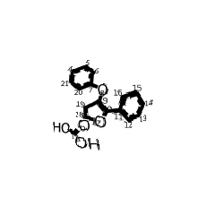 O=C(O)O.c1ccc(OC2=C(c3ccccc3)OCC2)cc1